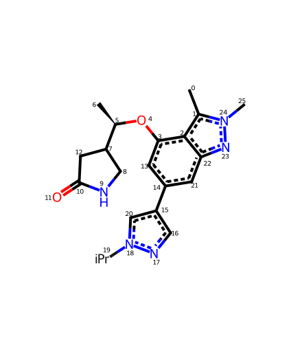 Cc1c2c(O[C@H](C)C3CNC(=O)C3)cc(-c3cnn(C(C)C)c3)cc2nn1C